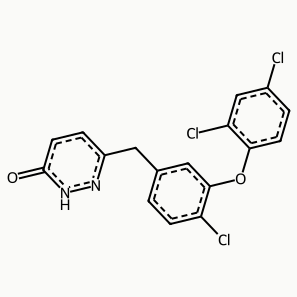 O=c1ccc(Cc2ccc(Cl)c(Oc3ccc(Cl)cc3Cl)c2)n[nH]1